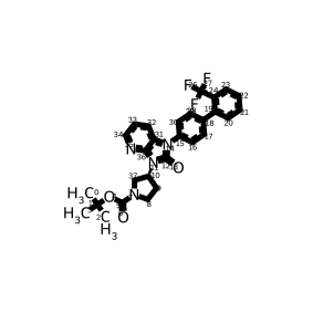 CC(C)(C)OC(=O)N1CC[C@H](n2c(=O)n(-c3ccc(-c4ccccc4C(F)(F)F)cc3)c3cccnc32)C1